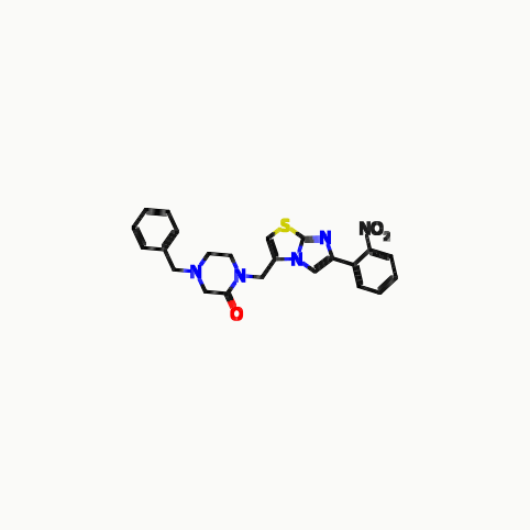 O=C1CN(Cc2ccccc2)CCN1Cc1csc2nc(-c3ccccc3[N+](=O)[O-])cn12